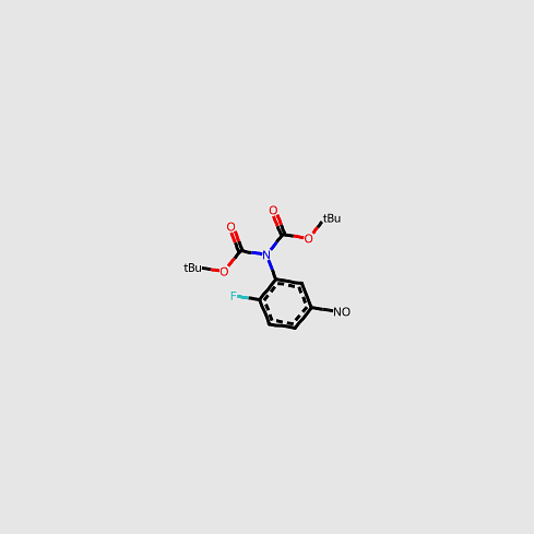 CC(C)(C)OC(=O)N(C(=O)OC(C)(C)C)c1cc(N=O)ccc1F